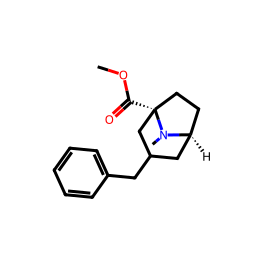 COC(=O)[C@@]12CC[C@@H](CC(Cc3ccccc3)C1)N2C